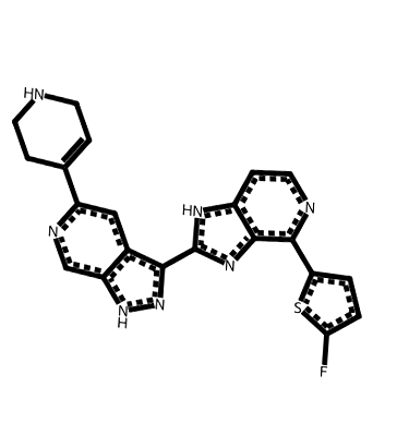 Fc1ccc(-c2nccc3[nH]c(-c4n[nH]c5cnc(C6=CCNCC6)cc45)nc23)s1